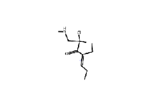 CC/C=C(\CC)C(=O)C(C)(Cl)CNC